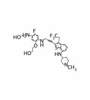 CN1CCC(Nc2cccc3c(CC(F)(F)F)c(C#CCNc4cc(F)c(NCCO)cc4OCCO)sc23)CC1